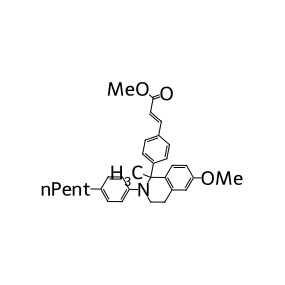 CCCCCc1ccc(N2CCc3cc(OC)ccc3C2(C)c2ccc(/C=C/C(=O)OC)cc2)cc1